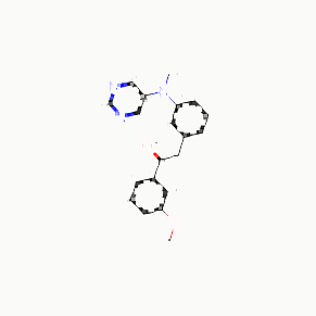 COc1cccc(C(=O)Cc2cccc(N(C)c3cncnc3)c2)c1